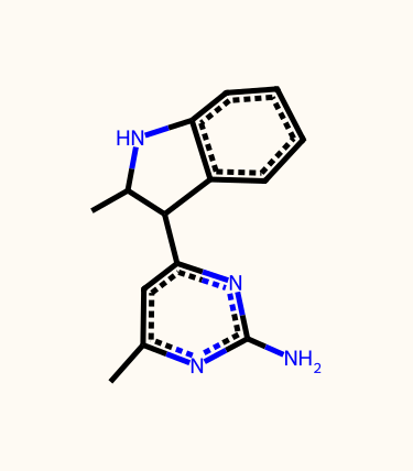 Cc1cc(C2c3ccccc3NC2C)nc(N)n1